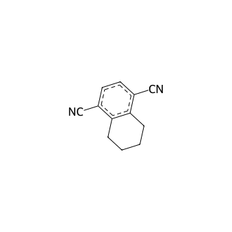 N#Cc1ccc(C#N)c2c1CCCC2